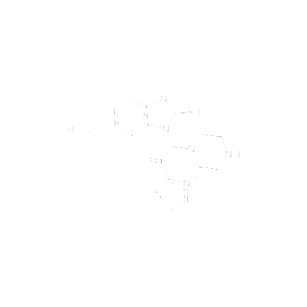 COc1ccc2nc(C)n(C(C(=O)c3ncc[nH]3)N3CCNCC3)c2c1